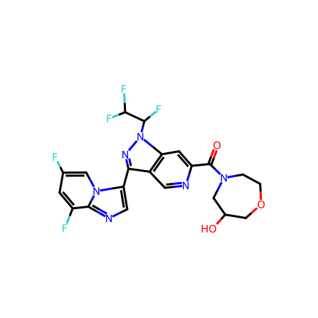 O=C(c1cc2c(cn1)c(-c1cnc3c(F)cc(F)cn13)nn2C(F)C(F)F)N1CCOCC(O)C1